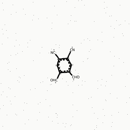 N#Cc1cc(C=O)c(C=O)cc1C#N